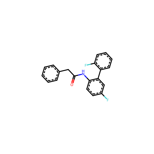 O=C(Cc1ccccc1)Nc1ccc(F)cc1-c1ccccc1F